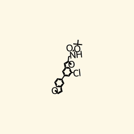 CC(C)(C)OC(=O)NCc1cc2cc(-c3ccc4occc4c3)cc(Cl)c2o1